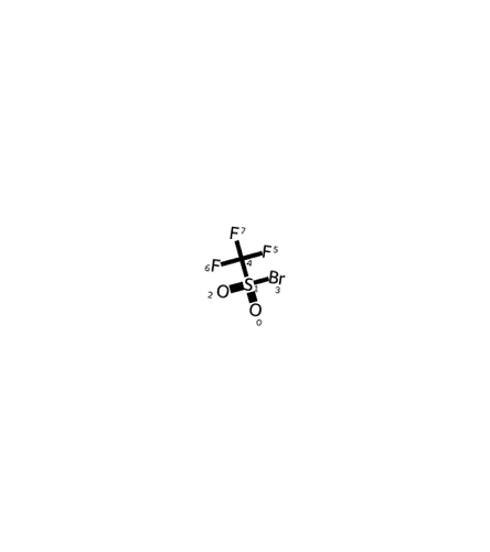 O=S(=O)(Br)C(F)(F)F